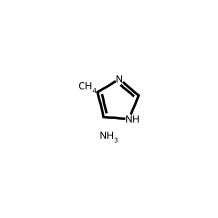 C.N.c1c[nH]cn1